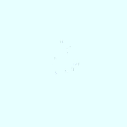 CC(C)(C)OC(=O)N1CCC[C@H]1C(=O)Nc1ccccc1N=NN